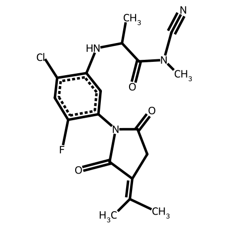 CC(C)=C1CC(=O)N(c2cc(NC(C)C(=O)N(C)C#N)c(Cl)cc2F)C1=O